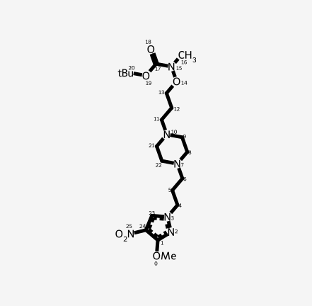 COc1nn(CCCN2CCN(CCCON(C)C(=O)OC(C)(C)C)CC2)cc1[N+](=O)[O-]